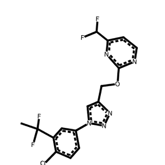 CC(F)(F)c1cc(-n2cc(COc3nccc(C(F)F)n3)nn2)ccc1Cl